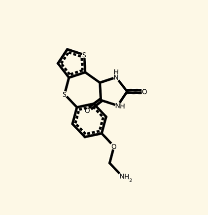 NCOc1ccc(Sc2ccsc2C2NC(=O)NC2=O)cc1